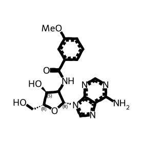 COc1cccc(C(=O)NC2[C@H](n3cnc4c(N)ncnc43)O[C@H](CO)[C@H]2O)c1